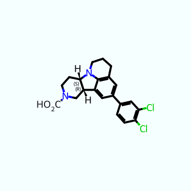 O=C(O)N1CC[C@H]2[C@@H](C1)c1cc(-c3ccc(Cl)c(Cl)c3)cc3c1N2CCC3